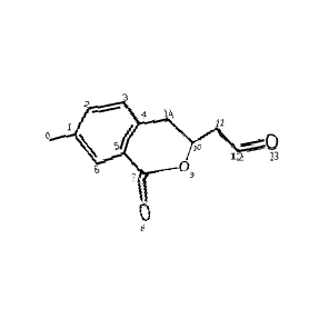 Cc1ccc2c(c1)C(=O)OC(CC=O)C2